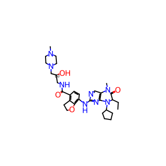 CCC1C(=O)N(C)c2cnc(Nc3ccc(C(=O)NC[C@H](O)CN4CCN(C)CC4)c4c3OCC4)nc2N1C1CCCC1